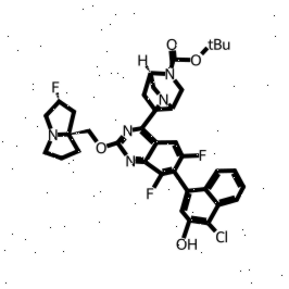 CC(C)(C)OC(=O)N1CC2CC[C@@H]1CN2c1nc(OC[C@@]23CCCN2C[C@H](F)C3)nc2c(F)c(-c3cc(O)c(Cl)c4ccccc34)c(F)cc12